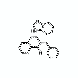 c1ccc2[nH]cnc2c1.c1ccc2nc3c(ccc4cccnc43)cc2c1